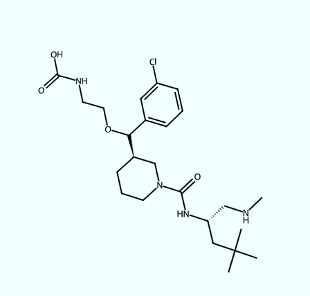 CNC[C@H](CC(C)(C)C)NC(=O)N1CCC[C@@H](C(OCCNC(=O)O)c2cccc(Cl)c2)C1